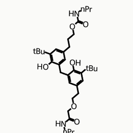 CCCNC(=O)COCCc1cc(Cc2cc(CCCOC(=O)NCCC)cc(C(C)(C)C)c2O)c(O)c(C(C)(C)C)c1